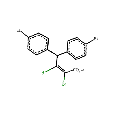 CCc1ccc(C(/C(Br)=C(/Br)C(=O)O)c2ccc(CC)cc2)cc1